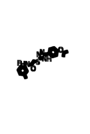 Cc1ccc(F)c(NC(=O)CSc2nnc(-c3ccc(OC(C)C)cc3)[nH]2)c1